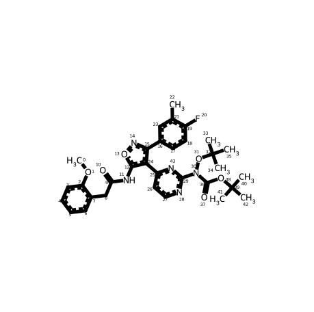 COc1ccccc1CC(=O)Nc1onc(-c2ccc(F)c(C)c2)c1-c1ccnc(N(OC(C)(C)C)C(=O)OC(C)(C)C)n1